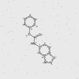 O=C(Nc1ccc2ocnc2c1)Oc1ccccc1